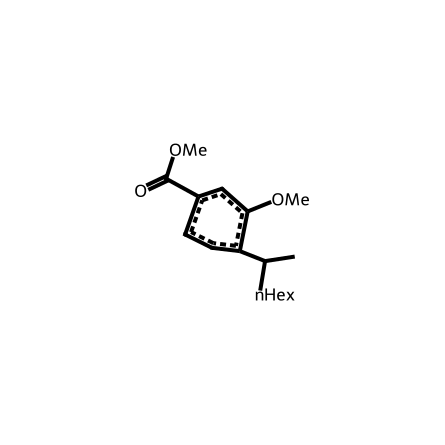 CCCCCCC(C)c1ccc(C(=O)OC)cc1OC